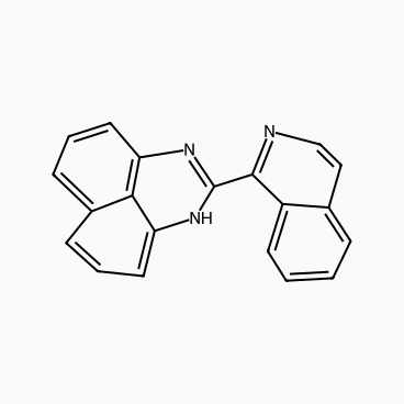 c1ccc2c(C3=Nc4cccc5cccc(c45)N3)nccc2c1